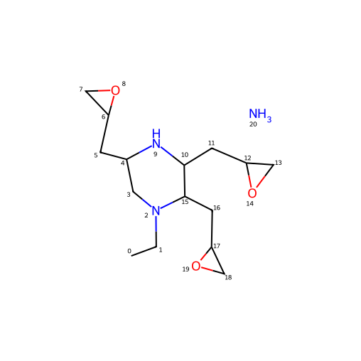 CCN1CC(CC2CO2)NC(CC2CO2)C1CC1CO1.N